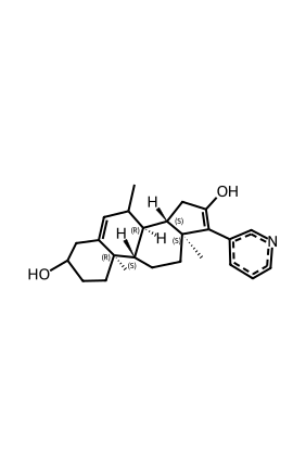 CC1C=C2CC(O)CC[C@]2(C)[C@H]2CC[C@]3(C)C(c4cccnc4)=C(O)C[C@H]3[C@H]12